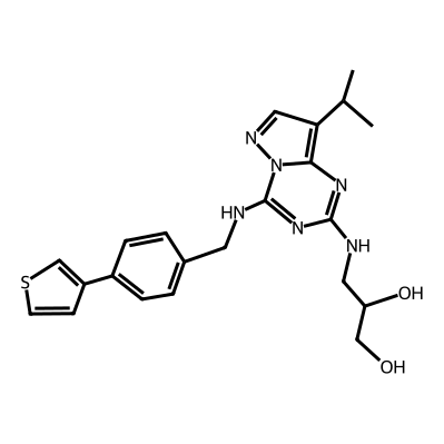 CC(C)c1cnn2c(NCc3ccc(-c4ccsc4)cc3)nc(NCC(O)CO)nc12